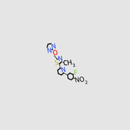 Cc1nc(COc2ncccn2)sc1-c1cccc(-c2ccc([N+](=O)[O-])c(F)c2)n1